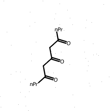 CCCC(=O)CC(=O)CC(=O)CCC